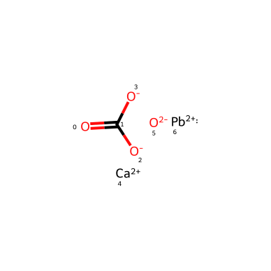 O=C([O-])[O-].[Ca+2].[O-2].[Pb+2]